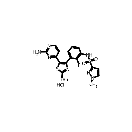 Cl.Cn1ccc(S(=O)(=O)Nc2cccc(-c3nc(C(C)(C)C)sc3-c3ccnc(N)n3)c2F)n1